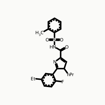 CCCC1C=C(C(=O)NS(=O)(=O)c2ccccc2C)N=C1c1cc(CC)ccc1F